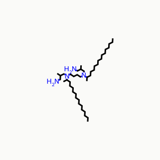 CCCCCCCCCCCCCCC(C)N(CCCCN(CC(C)CN)C(C)CCCCCCCCCCCCCC)CC(C)CN